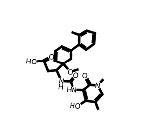 COC1(C(CC(=O)O)NC(=O)Nc2c(O)c(C)cn(C)c2=O)C=CC=C(c2ccccc2C)C1